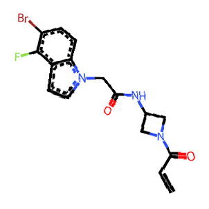 C=CC(=O)N1CC(NC(=O)Cn2ccc3c(F)c(Br)ccc32)C1